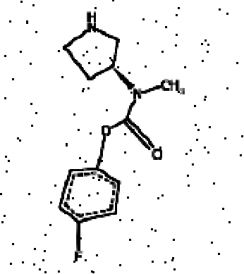 CN(C(=O)Oc1ccc(F)cc1)[C@H]1CCNC1